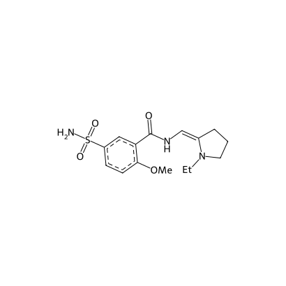 CCN1CCCC1=CNC(=O)c1cc(S(N)(=O)=O)ccc1OC